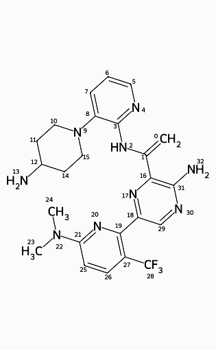 C=C(Nc1ncccc1N1CCC(N)CC1)c1nc(-c2nc(N(C)C)ccc2C(F)(F)F)cnc1N